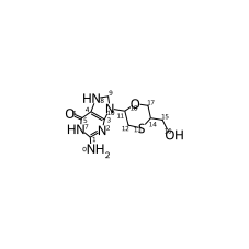 Nc1nc2c(c(=O)[nH]1)NCN2C1CSC(CO)CO1